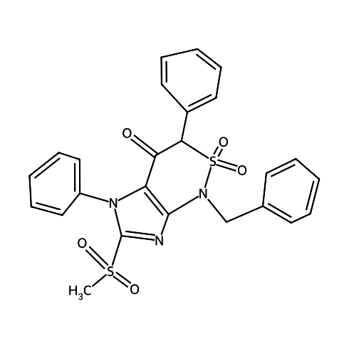 CS(=O)(=O)c1nc2c(n1-c1ccccc1)C(=O)C(c1ccccc1)S(=O)(=O)N2Cc1ccccc1